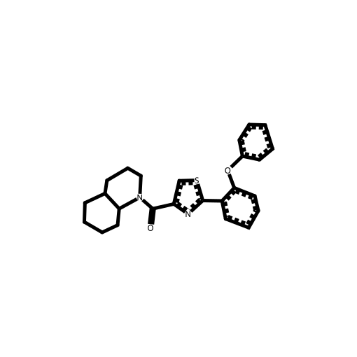 O=C(c1csc(-c2ccccc2Oc2ccccc2)n1)N1CCCC2CCCCC21